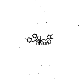 CCCCCCCCCOc1c(CCCC(=O)NC(Cc2ccc(C)cc2)c2ccccc2)ccc(C)c1C